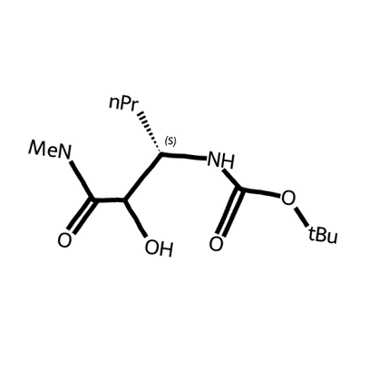 CCC[C@H](NC(=O)OC(C)(C)C)C(O)C(=O)NC